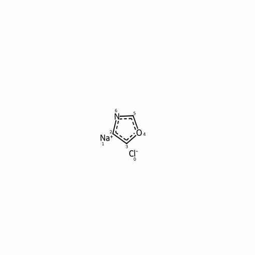 [Cl-].[Na+].c1cocn1